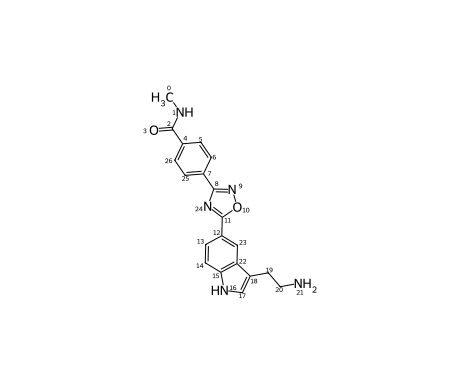 CNC(=O)c1ccc(-c2noc(-c3ccc4[nH]cc(CCN)c4c3)n2)cc1